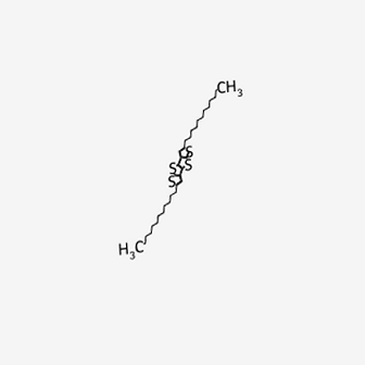 CCCCCCCCCCCCc1cc2c(s1)sc1c3cc(CCCCCCCCCCCC)sc3sc21